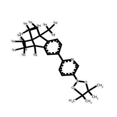 [2H]C([2H])([2H])C1([2H])c2cc(-c3ccc(B4OC(C)(C)C(C)(C)O4)cn3)ccc2C(C([2H])([2H])[2H])(C([2H])([2H])[2H])C1(C([2H])([2H])[2H])C([2H])([2H])[2H]